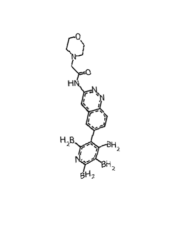 Bc1nc(B)c(-c2ccc3nnc(NC(=O)CN4CCOCC4)cc3c2)c(B)c1B